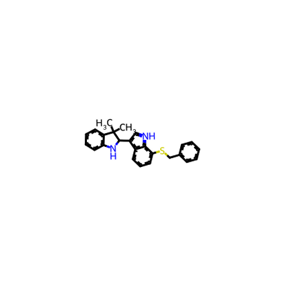 CC1(C)c2ccccc2NC1c1c[nH]c2c(SCc3ccccc3)cccc12